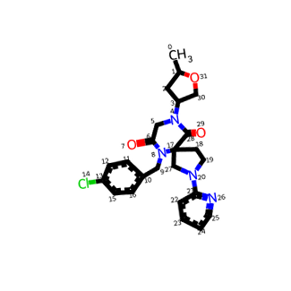 CC1CC(N2CC(=O)N(Cc3ccc(Cl)cc3)C3(CCN(c4ccccn4)C3)C2=O)CO1